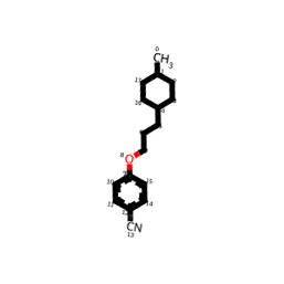 CC1CCC(CCCOc2ccc(C#N)cc2)CC1